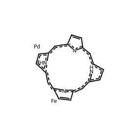 C1=Cc2cc3ccc(cc4nc(cc5ccc(cc1n2)[nH]5)C=C4)[nH]3.[Fe].[Pd]